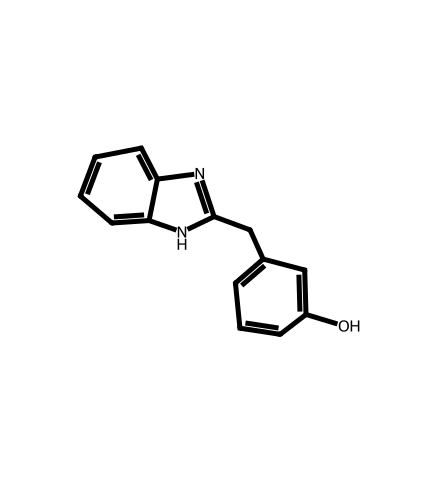 Oc1cccc(Cc2nc3ccccc3[nH]2)c1